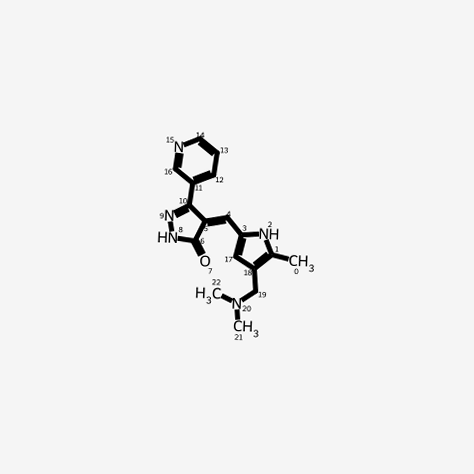 Cc1[nH]c(C=C2C(=O)NN=C2c2cccnc2)cc1CN(C)C